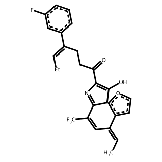 C/C=C(\C=C(/C1=NC(C(=O)CC/C(=C\CC)c2cccc(F)c2)=C(O)C1)C(F)(F)F)c1ccoc1